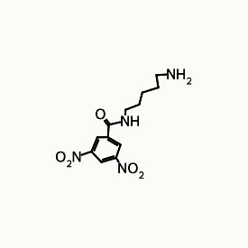 NCCCCCNC(=O)c1cc([N+](=O)[O-])cc([N+](=O)[O-])c1